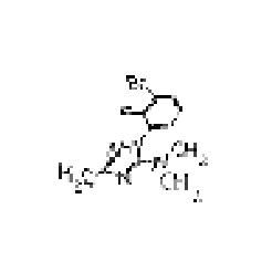 Cc1nc(N(C)C)n(-c2cccc(Br)c2F)n1